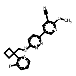 COc1ncc(-c2ccc(NCC3(c4ncccc4F)CCC3)nn2)cc1C#N